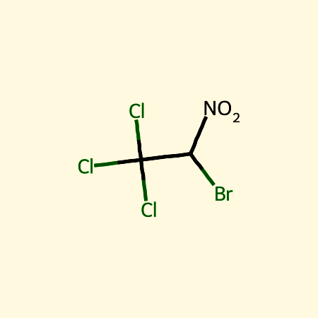 O=[N+]([O-])C(Br)C(Cl)(Cl)Cl